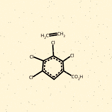 C=C.O=C(O)c1cc(Cl)c(Cl)c(Cl)c1Cl